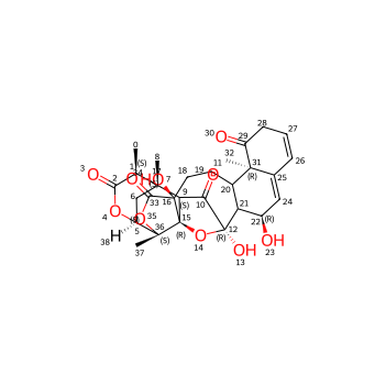 C[C@@H]1C(=O)O[C@H]2C[C@@]1(C)C1C(=O)[C@]3(O)O[C@@]14[C@@](O)(CCC1C3[C@H](O)C=C3C=CCC(=O)[C@@]31C)C(=O)O[C@@]24C